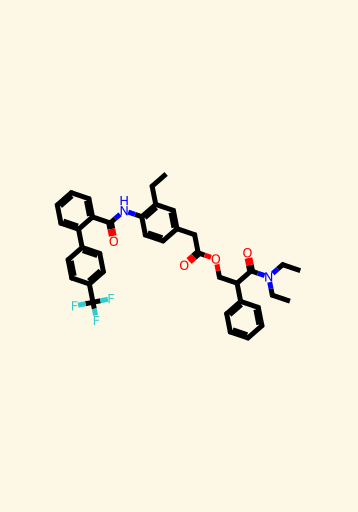 CCc1cc(CC(=O)OCC(C(=O)N(CC)CC)c2ccccc2)ccc1NC(=O)c1ccccc1-c1ccc(C(F)(F)F)cc1